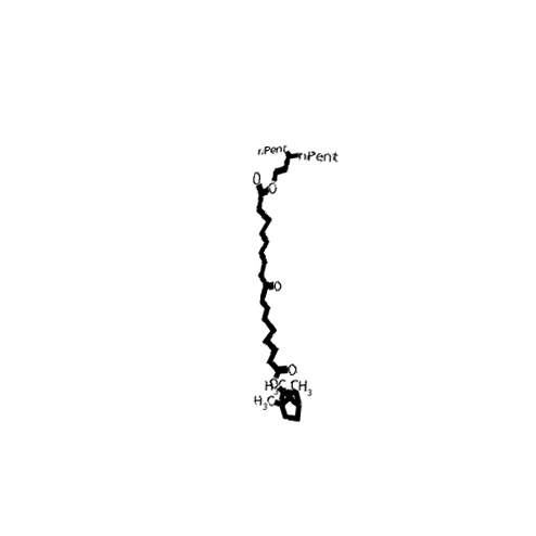 CCCCCC(CCCCC)CCOC(=O)CCCCCCCC(=O)CCCCCCCC(=O)OC1CC2CCC1(C)C2(C)C